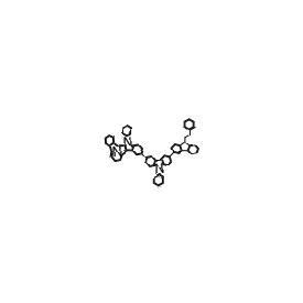 c1ccc(CCC2c3ccccc3-c3cc(-c4ccc5c(c4)c4cc(-c6ccc7c(c6)c6c(c8c9ccccc9c9cccc6n98)n7-c6ccccc6)ccc4n5-c4ccccc4)ccc32)cc1